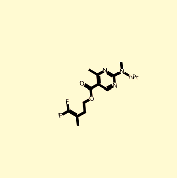 CCCN(C)c1ncc(C(=O)OCCC(C)=C(F)F)c(C)n1